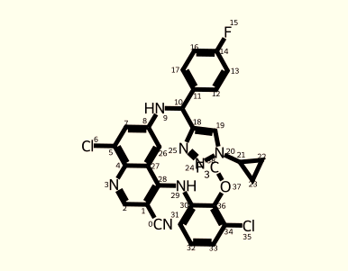 N#Cc1cnc2c(Cl)cc(NC(c3ccc(F)cc3)c3cn(C4CC4)nn3)cc2c1Nc1cccc(Cl)c1OC(F)(F)F